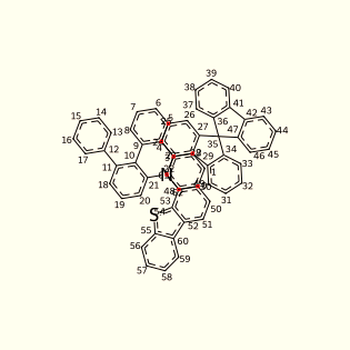 c1ccc(-c2ccccc2-c2c(-c3ccccc3)cccc2N(c2cccc3c2-c2ccccc2C32c3ccccc3-c3ccccc32)c2cccc3c2sc2ccccc23)cc1